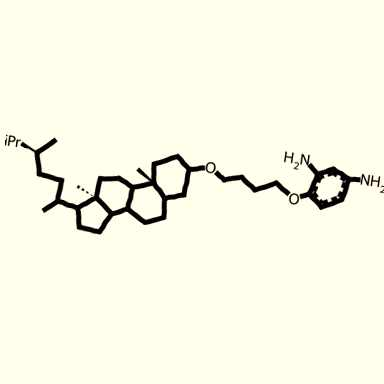 CC(CC[C@H](C)C(C)C)C1CCC2C3CCC4CC(OCCCCOc5ccc(N)cc5N)CC[C@@]4(C)C3CC[C@]12C